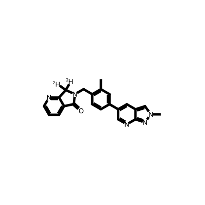 [2H]C1([2H])c2ncccc2C(=O)N1Cc1ccc(-c2cnc3nn(C)cc3c2)cc1C